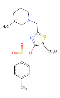 CCOC(=O)c1sc(CN2CCCC(C)C2)nc1OS(=O)(=O)c1ccc(C)cc1